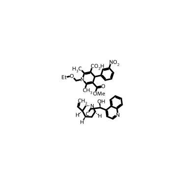 C=C[C@H]1C[N@]2CC[C@H]1C[C@@H]2[C@@H](O)c1ccnc2ccccc12.CCOCN1C(C)=C(C(=O)O)C(c2cccc([N+](=O)[O-])c2)C(C(=O)OC)=C1C